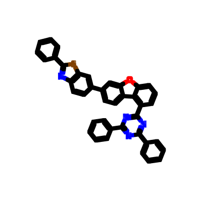 c1ccc(-c2nc(-c3ccccc3)nc(-c3cccc4oc5cc(-c6ccc7nc(-c8ccccc8)sc7c6)ccc5c34)n2)cc1